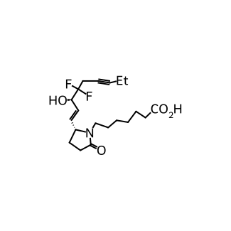 CCC#CCC(F)(F)[C@H](O)C=C[C@H]1CCC(=O)N1CCCCCCC(=O)O